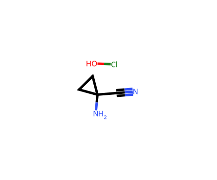 N#CC1(N)CC1.OCl